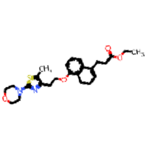 CCOC(=O)CCC1=CCCc2c(OCCc3nc(N4CCOCC4)sc3C)cccc21